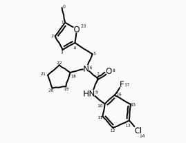 Cc1ccc(CN(C(=O)Nc2ccc(Cl)cc2F)C2CCCC2)o1